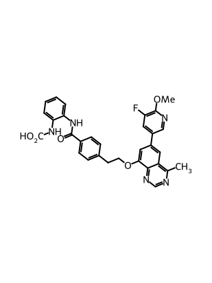 COc1ncc(-c2cc(OCCc3ccc(C(=O)Nc4ccccc4NC(=O)O)cc3)c3ncnc(C)c3c2)cc1F